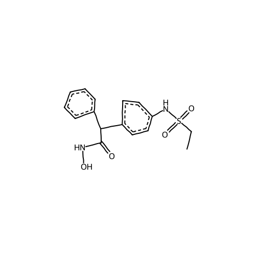 CCS(=O)(=O)Nc1ccc(C(C(=O)NO)c2ccccc2)cc1